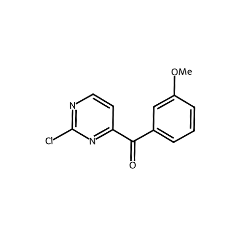 COc1cccc(C(=O)c2ccnc(Cl)n2)c1